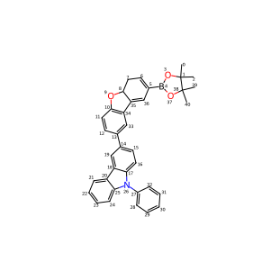 CC1(C)OB(C2=CCC3Oc4ccc(-c5ccc6c(c5)c5ccccc5n6-c5ccccc5)cc4C3=C2)OC1(C)C